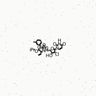 C=C[C@H](NP(=O)(OC[C@H]1O[C@@H](n2ccc(=O)[nH]c2=O)[C@@H](Cl)[C@@H]1O)Oc1cccc(C)c1)C(=O)OC(C)C